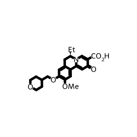 CC[C@H]1Cc2cc(OCC3CCOCC3)c(OC)cc2-c2cc(=O)c(C(=O)O)cn21